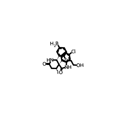 Bc1ccc(OCCO)c([C@H]2NC(=O)C[C@@H](I)[C@]23C(=O)Nc2cc(Cl)ccc23)c1